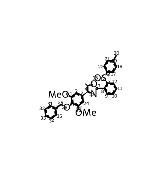 COc1cc([C@H]2COC(c3ccccc3[S@@+]([O-])c3ccc(C)cc3)=N2)cc(OC)c1OCc1ccccc1